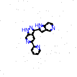 c1ccc(-c2cc3c(-c4cc5cnccc5[nH]4)n[nH]c3cn2)nc1